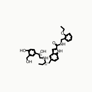 CCOc1ccccc1CNC(=O)c1cc2cc(C[C@H](CC)NC[C@@H](O)c3ccc(O)c(CO)c3)ccc2[nH]1